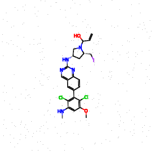 C=CC(O)N1C[C@@H](Nc2ncc3cc(-c4c(Cl)c(NC)cc(OC)c4Cl)ccc3n2)C[C@H]1CI